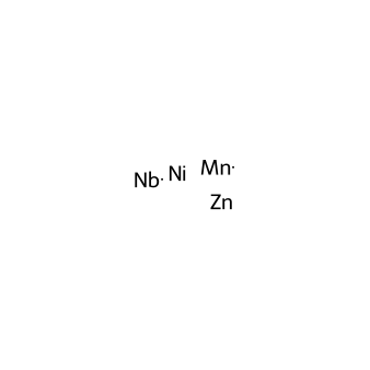 [Mn].[Nb].[Ni].[Zn]